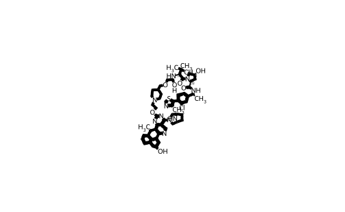 Cc1ncsc1-c1ccc([C@H](C)NC(=O)[C@@H]2C[C@@H](O)CN2C(=O)[C@@H](NC(O)COCC2CCN(CCOc3nc(N4CC5CCC(C4)N5)c4cnc5c(c4n3)C(C)c3cccc4cc(O)cc-5c34)CC2)C(C)(C)C)cc1Cl